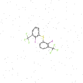 FC(F)(F)c1cccc(Sc2cccc(C(F)(F)F)c2I)c1I